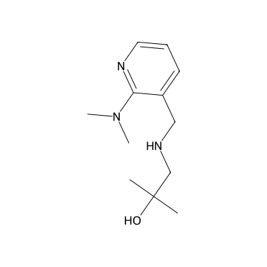 CN(C)c1ncccc1CNCC(C)(C)O